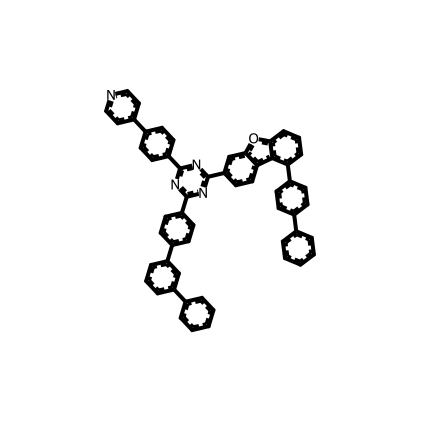 c1ccc(-c2ccc(-c3cccc4oc5cc(-c6nc(-c7ccc(-c8ccncc8)cc7)nc(-c7ccc(-c8cccc(-c9ccccc9)c8)cc7)n6)ccc5c34)cc2)cc1